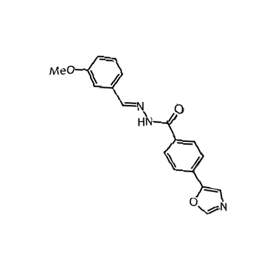 COc1cccc(/C=N/NC(=O)c2ccc(-c3cnco3)cc2)c1